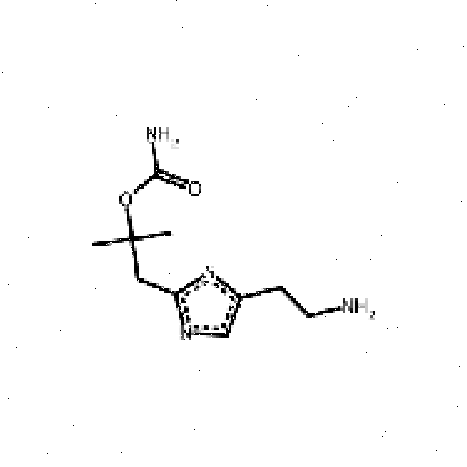 CC(C)(Cc1ncc(CCN)s1)OC(N)=O